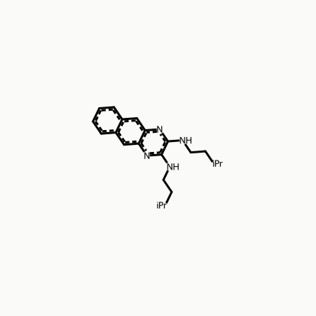 CC(C)CCNc1nc2cc3ccccc3cc2nc1NCCC(C)C